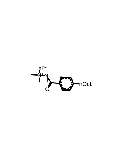 CCCCCCCCc1ccc(C(=O)N[N+](C)(C)CCC)cc1